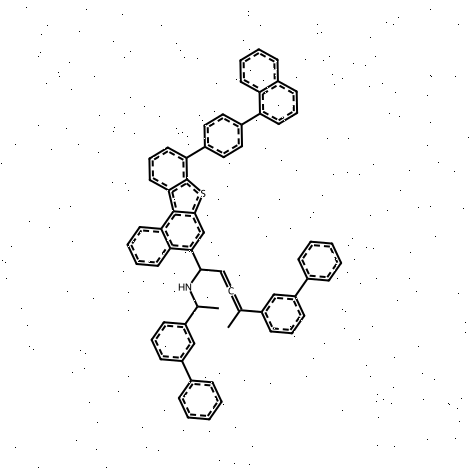 CC(=C=CC(NC(C)c1cccc(-c2ccccc2)c1)c1cc2sc3c(-c4ccc(-c5cccc6ccccc56)cc4)cccc3c2c2ccccc12)c1cccc(-c2ccccc2)c1